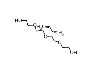 C=CC=C.OCCOCCOCCOCCO